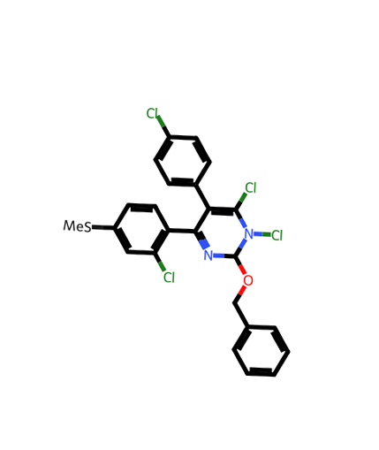 CSc1ccc(C2=NC(OCc3ccccc3)N(Cl)C(Cl)=C2c2ccc(Cl)cc2)c(Cl)c1